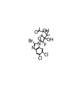 CC(=O)C(O)[C@H]1O[C@@H](n2c(Br)nc3cc(Cl)c(Cl)cc32)[C@@H](F)[C@@]1(O)C(C)=O